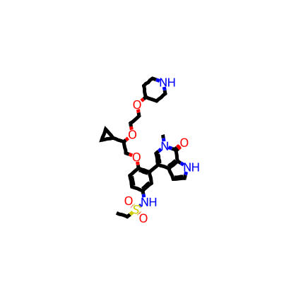 CCS(=O)(=O)Nc1ccc(OCC(OCCOC2CCNCC2)C2CC2)c(-c2cn(C)c(=O)c3[nH]ccc23)c1